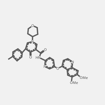 COc1cc2nccc(Oc3ccc(NC(=O)c4cn(C5CCOCC5)cc(-c5ccc(C)cc5)c4=O)nc3)c2cc1OC